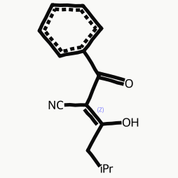 CC(C)C/C(O)=C(\C#N)C(=O)c1ccccc1